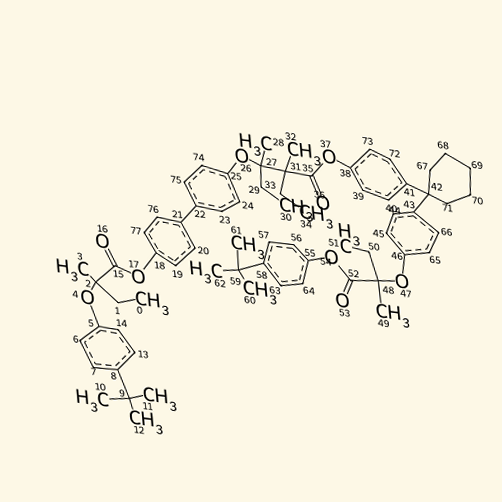 CCC(C)(Oc1ccc(C(C)(C)C)cc1)C(=O)Oc1ccc(-c2ccc(OC(C)(CC)C(C)(CC)C(=O)Oc3ccc(C4(c5ccc(OC(C)(CC)C(=O)Oc6ccc(C(C)(C)C)cc6)cc5)CCCCC4)cc3)cc2)cc1